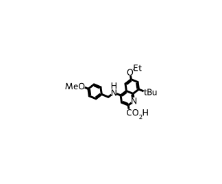 CCOc1cc(C(C)(C)C)c2nc(C(=O)O)cc(NCc3ccc(OC)cc3)c2c1